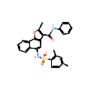 Cc1ccc(S(=O)(=O)Nc2cc3c(C(=O)Nc4ccccc4)c(C)oc3c3ccccc23)c(C)c1